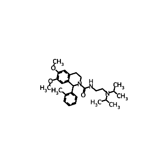 COc1cc2c(cc1OC)C(c1ccccc1C)N(C(=O)NCCN(C(C)C)C(C)C)CC2